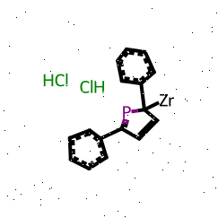 Cl.Cl.[Zr][C]1(c2ccccc2)C=CC(c2ccccc2)=P1